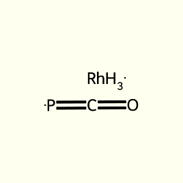 O=C=[P].[RhH3]